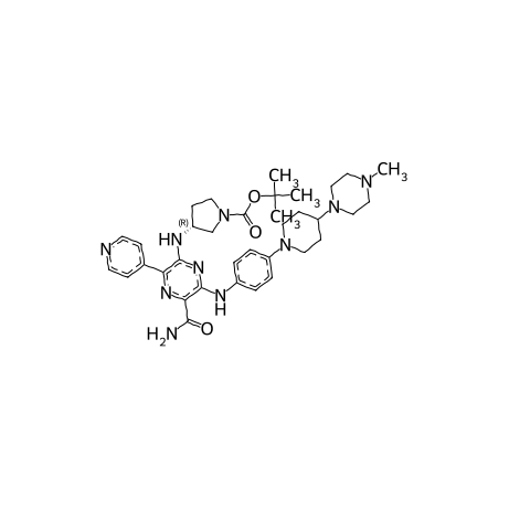 CN1CCN(C2CCN(c3ccc(Nc4nc(N[C@@H]5CCN(C(=O)OC(C)(C)C)C5)c(-c5ccncc5)nc4C(N)=O)cc3)CC2)CC1